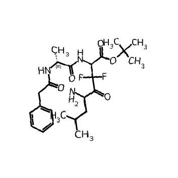 CC(C)CC(N)C(=O)C(F)(F)C(NC(=O)[C@@H](C)NC(=O)Cc1ccccc1)C(=O)OC(C)(C)C